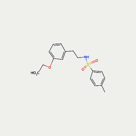 Cc1ccc(S(=O)(=O)NCCc2cccc(OCC(=O)O)c2)cc1